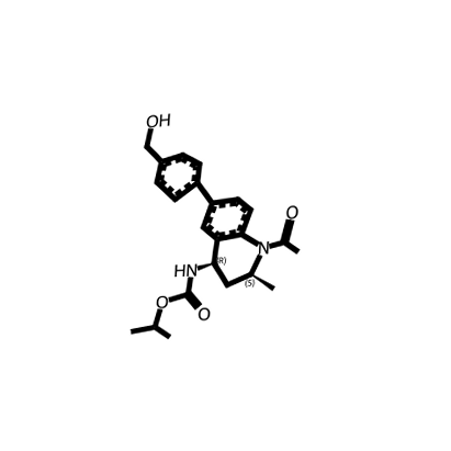 CC(=O)N1c2ccc(-c3ccc(CO)cc3)cc2[C@H](NC(=O)OC(C)C)C[C@@H]1C